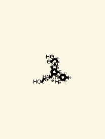 O=C(NOCCO)c1cc(CN2OCCC(O)C2=O)c(F)c(F)c1Nc1ccc(I)cc1F